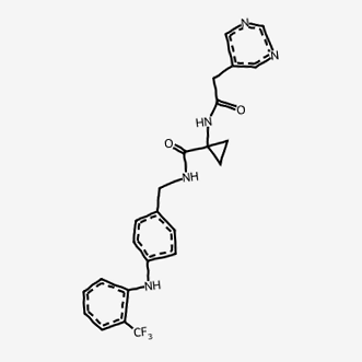 O=C(Cc1cncnc1)NC1(C(=O)NCc2ccc(Nc3ccccc3C(F)(F)F)cc2)CC1